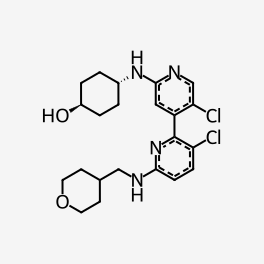 O[C@H]1CC[C@H](Nc2cc(-c3nc(NCC4CCOCC4)ccc3Cl)c(Cl)cn2)CC1